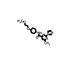 COCCO[C@H]1CC[C@H](NC(=O)c2cc(C)nc(-n3ccnc3)n2)CC1